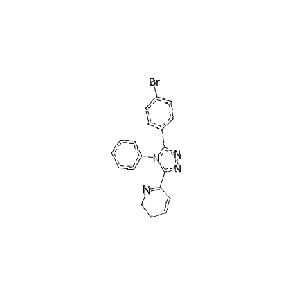 Brc1ccc(-c2nnc(C3=NCCC=C3)n2-c2ccccc2)cc1